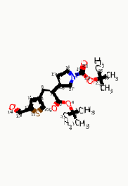 CC(C)(C)OC(=O)[C@@H](Cc1csc(C=O)c1)[C@H]1CCN(C(=O)OC(C)(C)C)C1